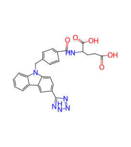 O=C(O)CCC(NC(=O)c1ccc(Cn2c3ccccc3c3cc(-c4nn[nH]n4)ccc32)cc1)C(=O)O